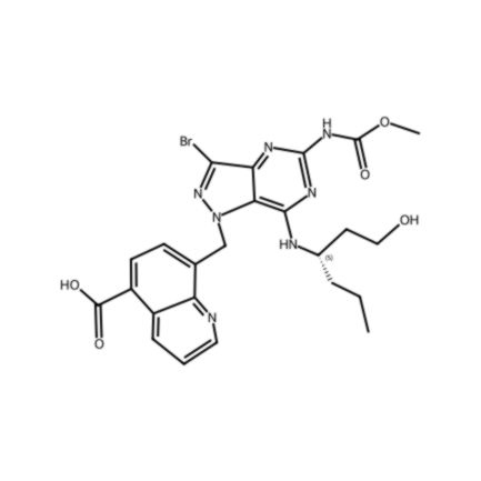 CCC[C@@H](CCO)Nc1nc(NC(=O)OC)nc2c(Br)nn(Cc3ccc(C(=O)O)c4cccnc34)c12